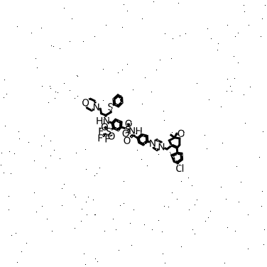 CC1(C=O)CCC(c2ccc(Cl)cc2)=C(CN2CCN(c3ccc(C(=O)NS(=O)(=O)c4ccc(NC(CCN5CCOCC5)CSc5ccccc5)c(S(=O)(=O)C(F)(F)F)c4)cc3)CC2)C1